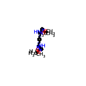 CC(C)(C)OC(=O)N1CCCC1c1ncc(/C=C/c2ccc(/C=C/c3c[nH]c([C@@H]4CCCN4C(=O)OC(C)(C)C)n3)cc2)[nH]1